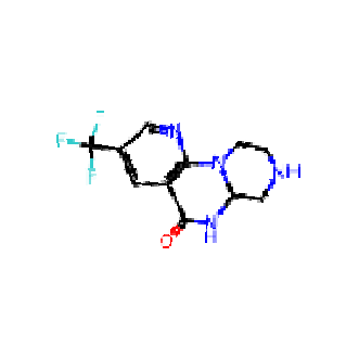 O=C1NC2CNCCN2c2ncc(C(F)(F)F)cc21